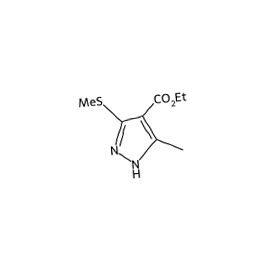 CCOC(=O)c1c(SC)n[nH]c1C